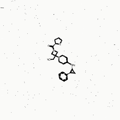 N#CCC1(N2CCC(N[C@@H]3C[C@H]3c3ccccc3)CC2)CN(C(=O)[C@H]2CCCO2)C1